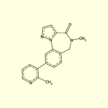 Cc1ncccc1-c1ccc2c(c1)-n1nccc1C(=O)N(C)C2